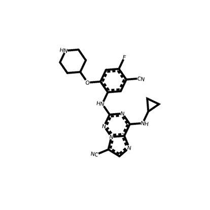 N#Cc1cc(Nc2nc(NC3CC3)c3ncc(C#N)n3n2)c(OC2CCNCC2)cc1F